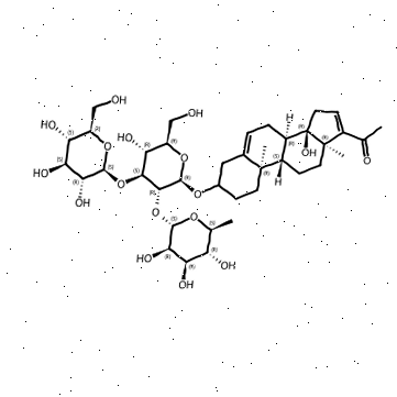 CC(=O)C1=CC[C@@]2(O)[C@@H]3CC=C4CC(O[C@@H]5O[C@H](CO)[C@@H](O)[C@H](O[C@@H]6O[C@H](CO)[C@@H](O)[C@H](O)[C@H]6O)[C@H]5O[C@@H]5O[C@@H](C)[C@H](O)[C@@H](O)[C@H]5O)CC[C@]4(C)[C@H]3CC[C@]12C